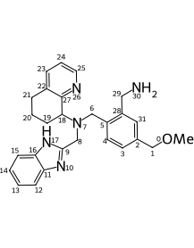 COCc1ccc(CN(Cc2nc3ccccc3[nH]2)C2CCCc3cccnc32)c(CN)c1